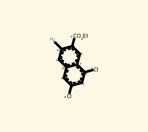 CCOC(=O)c1cc2c(Cl)cc(Cl)cc2cc1I